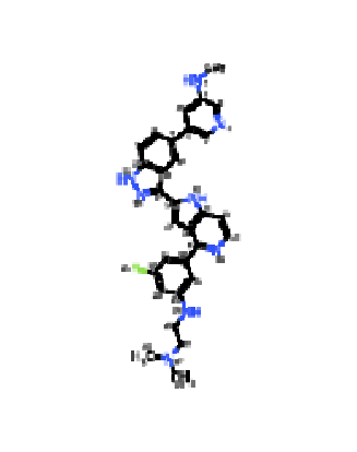 CC(C)Nc1cncc(-c2ccc3[nH]nc(-c4cc5c(-c6cc(F)cc(NCCN(C)C)c6)nccc5[nH]4)c3c2)c1